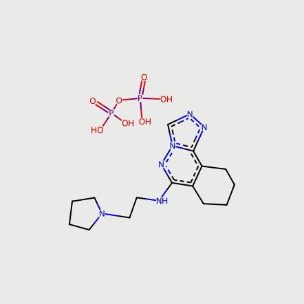 O=P(O)(O)OP(=O)(O)O.c1nnc2c3c(c(NCCN4CCCC4)nn12)CCCC3